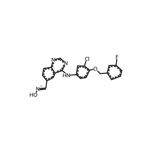 O/N=C/c1ccc2ncnc(Nc3ccc(OCc4cccc(F)c4)c(Cl)c3)c2c1